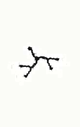 O=C(CCC(OCCCCCCC(F)(F)C(F)(F)F)OCCCCCCC(F)(F)C(F)(F)F)OCc1cc(COC(=O)CCC(OCCCCCCC(F)(F)C(F)(F)F)OCCCCCCC(F)(F)C(F)(F)F)cc(COC(=O)NCCN2CCCC2)c1